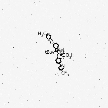 CCC(CC)(C(=O)O)C(Cc1ccc(-c2ccc(C(F)(F)F)cn2)cc1)c1[nH]c2ccc(OCc3cnc(C)cn3)cc2c1SC(C)(C)C